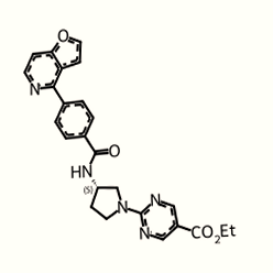 CCOC(=O)c1cnc(N2CC[C@H](NC(=O)c3ccc(-c4nccc5occc45)cc3)C2)nc1